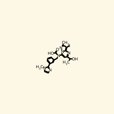 Cc1nn2c(N(Cc3cccc(-c4nccn4C)c3)C(=O)O)cc(C(C)O)nc2c1I